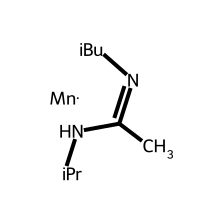 CCC(C)N=C(C)NC(C)C.[Mn]